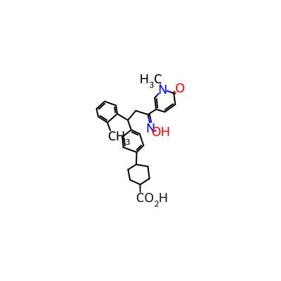 Cc1ccccc1C(CC(=NO)c1ccc(=O)n(C)c1)c1ccc(C2CCC(C(=O)O)CC2)cc1